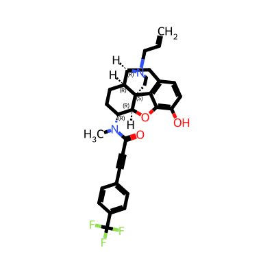 C=CCN1CC[C@]23c4c5ccc(O)c4O[C@H]2[C@H](N(C)C(=O)C#Cc2ccc(C(F)(F)F)cc2)CC[C@H]3[C@H]1C5